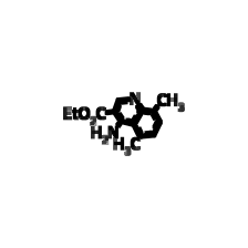 CCOC(=O)c1cnc2c(C)ccc(C)c2c1N